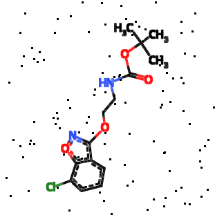 CC(C)(C)OC(=O)NCCOc1noc2c(Cl)cccc12